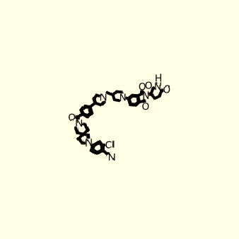 N#Cc1ccc(N2CCC3(CCN(C(=O)c4ccc(C5CCN(CC6CCN(c7ccc8c(c7)C(=O)N(C7CCC(=O)NC7=O)C8=O)CC6)CC5)cc4)CC3)C2)cc1Cl